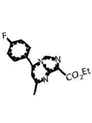 CCOC(=O)c1ncn2c(-c3ccc(F)cc3)cc(C)nc12